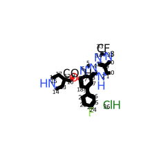 CC(Nc1ncnc2c(OCC3(C(=O)O)CCNCC3)cc(-c3ccc(F)cc3)cc12)c1cnc(C(F)(F)F)nc1.Cl